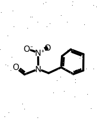 O=CN(Cc1ccccc1)[N+](=O)[O-]